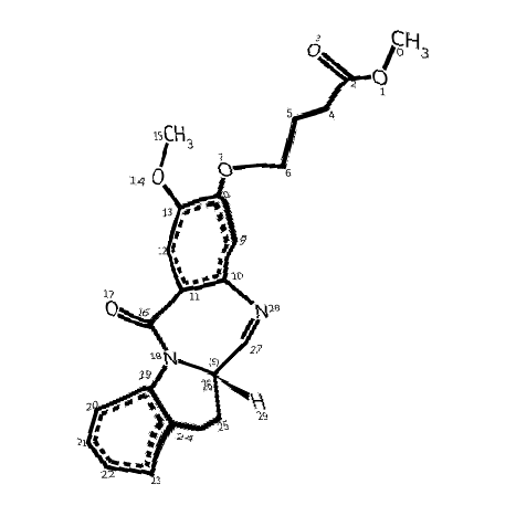 COC(=O)CCCOc1cc2c(cc1OC)C(=O)N1c3ccccc3C[C@H]1C=N2